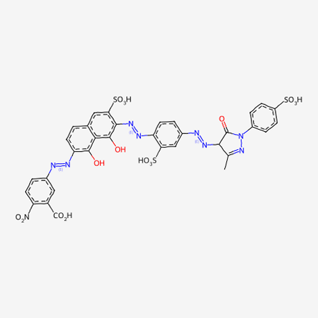 CC1=NN(c2ccc(S(=O)(=O)O)cc2)C(=O)C1/N=N/c1ccc(/N=N/c2c(S(=O)(=O)O)cc3ccc(/N=N/c4ccc([N+](=O)[O-])c(C(=O)O)c4)c(O)c3c2O)c(S(=O)(=O)O)c1